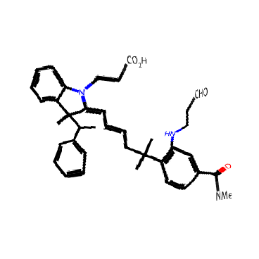 CNC(=O)c1ccc(C(C)(C)C/C=C/C=C2/N(CCC(=O)O)c3ccccc3C2(C)C(C)c2ccccc2)c(NCCC=O)c1